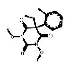 CCC1(c2ccccc2C)C(=O)N(OC)C(=O)N(OC)C1=O